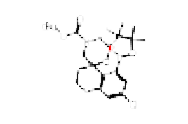 CC(C)(C)OC(=O)N1CCOC2(CCCc3cc(Cl)cc(B4OC(C)(C)C(C)(C)O4)c32)C1